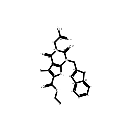 CCOC(=O)c1sc2c(c1C)c(=O)n(CC(=O)O)c(=O)n2CC1=Cc2ccccc2C1